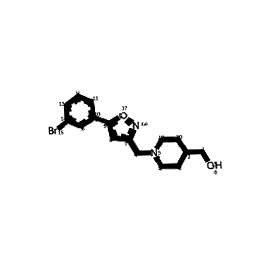 OCC1CCN(Cc2cc(-c3cccc(Br)c3)on2)CC1